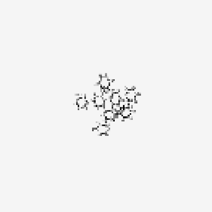 c1ccc(-c2cccc(-c3cc(-c4ccccn4)nc(-c4cccc(-c5ccccn5)n4)c3-c3cccc(-c4ccccn4)n3)n2)nc1